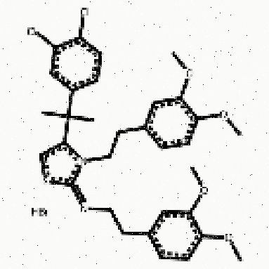 Br.COc1ccc(CC/N=c2/scc(C(C)(C)c3ccc(Cl)c(Cl)c3)n2CCc2ccc(OC)c(OC)c2)cc1OC